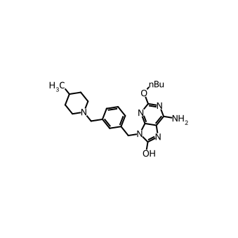 CCCCOc1nc(N)c2nc(O)n(Cc3cccc(CN4CCC(C)CC4)c3)c2n1